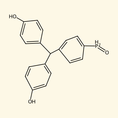 O=[PH2]c1ccc(C(c2ccc(O)cc2)c2ccc(O)cc2)cc1